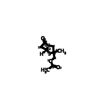 CC(=O)OCC1(C)CN2C(=O)C[C@H]2S1